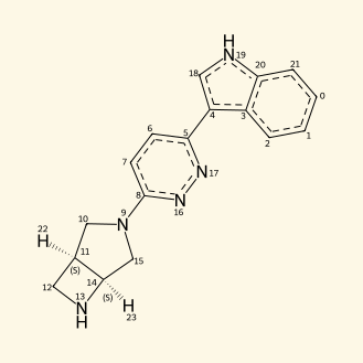 c1ccc2c(-c3ccc(N4C[C@@H]5CN[C@@H]5C4)nn3)c[nH]c2c1